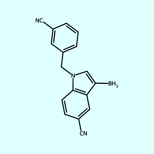 Bc1cn(Cc2cccc(C#N)c2)c2ccc(C#N)cc12